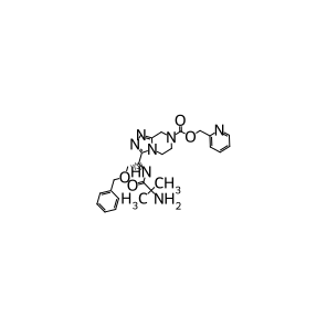 CC(C)(N)C(=O)N[C@H](COCc1ccccc1)c1nnc2n1CCN(C(=O)OCc1ccccn1)C2